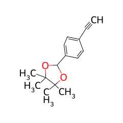 C#Cc1ccc(C2OC(C)(C)C(C)(C)O2)cc1